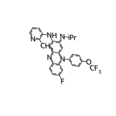 Cc1ncccc1Nc1cc2nc3ccc(F)cc3n(-c3ccc(OC(F)(F)F)cc3)c-2c/c1=N\C(C)C